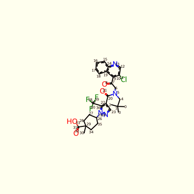 CC(C)(C)CN(CC(=O)c1c(Cl)cnc2ccccc12)C(=O)c1cnn(C2CCC(C)(C(=O)O)CC2)c1C(F)(F)F